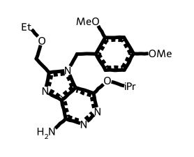 CCOCc1nc2c(N)nnc(OC(C)C)c2n1Cc1ccc(OC)cc1OC